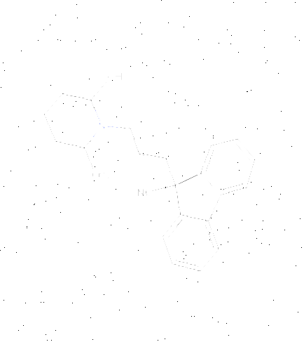 CC1CCCC(C)N1CCCC1(C#N)c2ccccc2-c2ccccc21